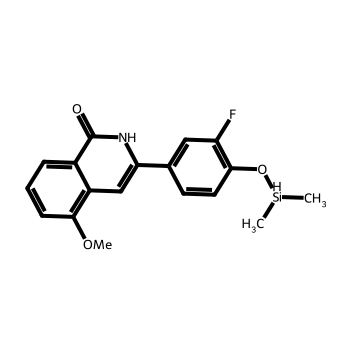 COc1cccc2c(=O)[nH]c(-c3ccc(O[SiH](C)C)c(F)c3)cc12